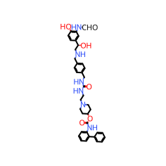 O=CNc1cc([C@@H](O)CNCc2ccc(CNC(=O)NCCN3CCC(OC(=O)Nc4ccccc4-c4ccccc4)CC3)cc2)ccc1O